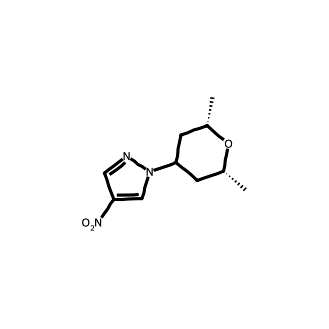 C[C@@H]1CC(n2cc([N+](=O)[O-])cn2)C[C@H](C)O1